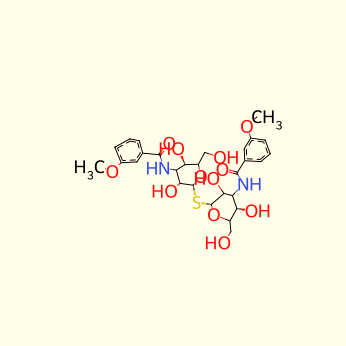 COc1cccc(C(=O)NC2C(O)[C@H](S[C@@H]3OC(CO)[C@H](O)C(NC(=O)c4cccc(OC)c4)C3O)OC(CO)[C@@H]2O)c1